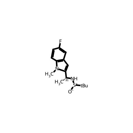 C[C@@H](N[S+]([O-])C(C)(C)C)c1cc2cc(F)ccc2n1C